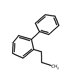 CCCc1cc[c]cc1-c1ccccc1